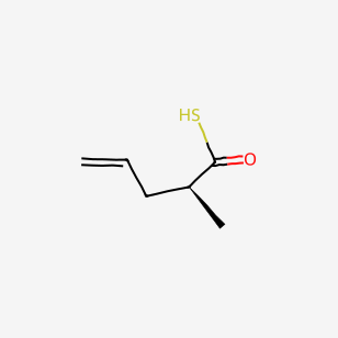 C=CC[C@H](C)C(=O)S